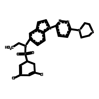 O=C(O)CN(c1ccc2c(ccn2-c2ccc(N3CCSCC3)nn2)c1)S(=O)(=O)C1C=C(Cl)C=C(Cl)C1